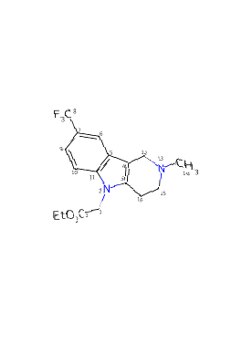 CCOC(=O)Cn1c2c(c3cc(C(F)(F)F)ccc31)CN(C)CC2